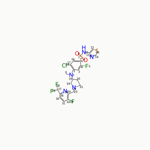 CN(c1cc(F)c(S(=O)(=O)Nc2cscn2)cc1Cl)C1CCN(Cc2nc(C(F)F)ccc2F)C1